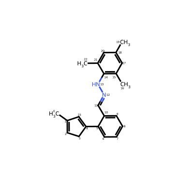 CC1=CCC(c2ccccc2C=NNc2c(C)cc(C)cc2C)=C1